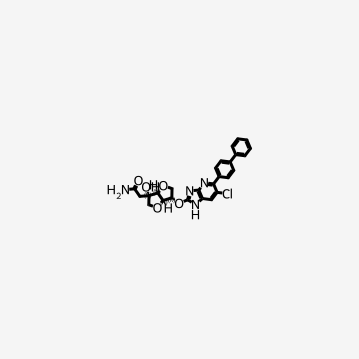 NC(=O)C[C@@]1(O)CO[C@@H]2[C@H](Oc3nc4nc(-c5ccc(-c6ccccc6)cc5)c(Cl)cc4[nH]3)CO[C@@H]21